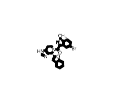 Cn1nc(C(=O)N2CCc3[nH]cnc3[C@H]2c2cc3ccccc3o2)c2cc(Br)ccc21